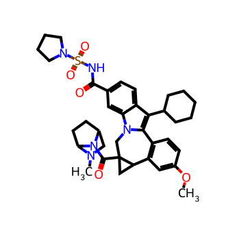 COc1ccc2c(c1)C1CC1(C(=O)N1C3CCC1N(C)C3)Cn1c-2c(C2CCCCC2)c2ccc(C(=O)NS(=O)(=O)N3CCCC3)cc21